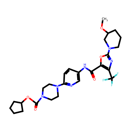 COC1CCCN(c2nc(C(F)(F)F)c(C(=O)Nc3ccc(N4CCN(C(=O)OC5CCCC5)CC4)nc3)o2)C1